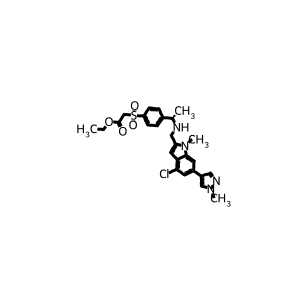 CCOC(=O)CS(=O)(=O)c1ccc([C@@H](C)NCc2cc3c(Cl)cc(-c4cnn(C)c4)cc3n2C)cc1